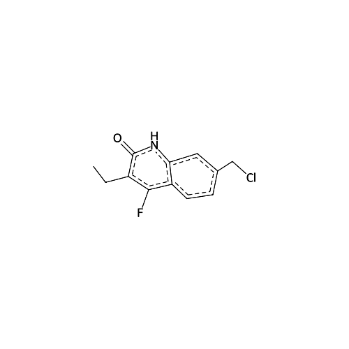 CCc1c(F)c2ccc(CCl)cc2[nH]c1=O